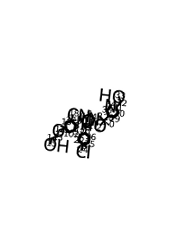 C[C@@](O)(CN1CCN(c2ccc(OCCO)cc2C#N)[C@H](c2ccc(Cl)cc2)C1)c1ccc(CO)nc1